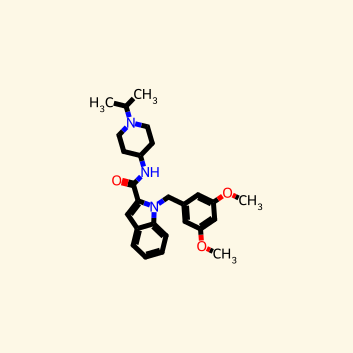 COc1cc(Cn2c(C(=O)NC3CCN(C(C)C)CC3)cc3ccccc32)cc(OC)c1